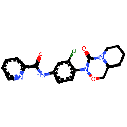 O=C(Nc1ccc(N2OCC3CCCCN3C2=O)c(Cl)c1)c1ccccn1